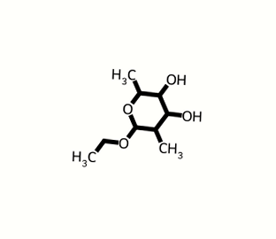 CCOC1OC(C)C(O)C(O)C1C